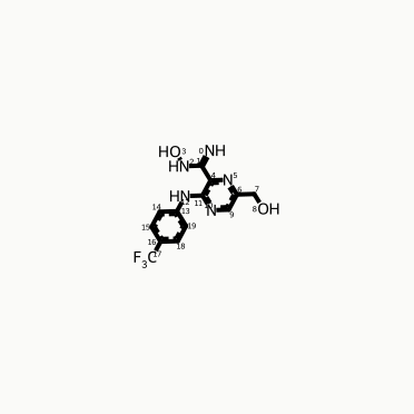 N=C(NO)c1nc(CO)cnc1Nc1ccc(C(F)(F)F)cc1